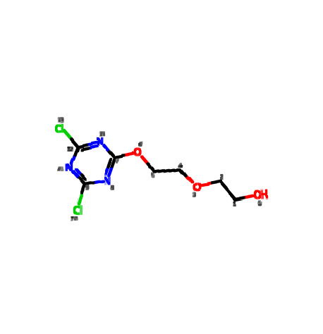 OCCOCCOc1nc(Cl)nc(Cl)n1